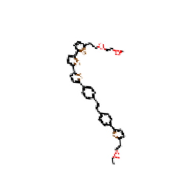 CCOCCc1ccc(-c2ccc(/C=C/c3ccc(-c4ccc(-c5ccc(-c6ccc(CCOCCOC)s6)s5)s4)cc3)cc2)s1